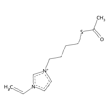 C=Cn1cc[n+](CCCCSC(C)=O)c1